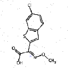 CO/N=C(/C(=O)O)c1cc2ccc(Cl)cc2s1